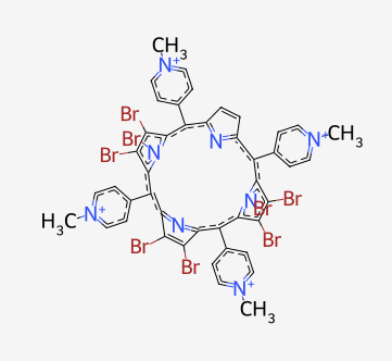 C[n+]1ccc(-c2c3nc(c(-c4cc[n+](C)cc4)c4c(Br)c(Br)c(c(-c5cc[n+](C)cc5)c5nc(c(-c6cc[n+](C)cc6)c6c(Br)c(Br)c2n6Br)C(Br)=C5Br)n4Br)C=C3)cc1